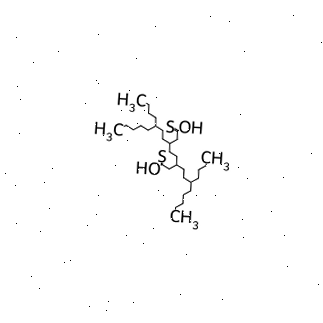 CCCCCC(CCCC)CCC(CCC(CCC(CCCC)CCCCC)CC(O)=S)CC(O)=S